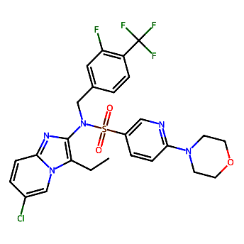 CCc1c(N(Cc2ccc(C(F)(F)F)c(F)c2)S(=O)(=O)c2ccc(N3CCOCC3)nc2)nc2ccc(Cl)cn12